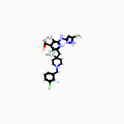 CCC(=O)c1c(C)c(Nc2cc(C)[nH]n2)nc(CC2(C(=O)O)CCN(Cc3cccc(Cl)c3F)CC2)c1F